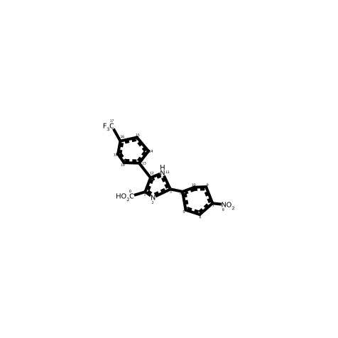 O=C(O)c1nc(-c2ccc([N+](=O)[O-])cc2)[nH]c1-c1ccc(C(F)(F)F)cc1